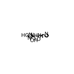 O=C(CSc1nnc(O)nc1O)N/N=C/c1ccccn1